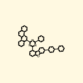 c1ccc(-c2ccc(-c3ccc4c(c3)oc3cccc(-c5nc(-c6ccccc6)nc(-c6cc7c8ccccc8ccc7c7ccccc67)n5)c34)cc2)cc1